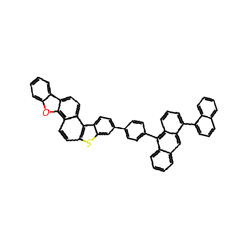 c1ccc2c(-c3cccc4c(-c5ccc(-c6ccc7c(c6)sc6ccc8c(ccc9c%10ccccc%10oc98)c67)cc5)c5ccccc5cc34)cccc2c1